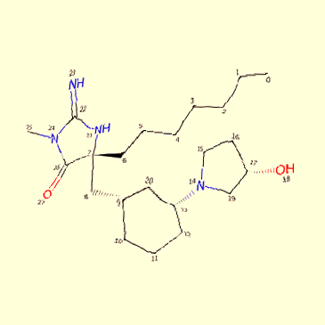 CCCCCCC[C@]1(C[C@H]2CCC[C@@H](N3CC[C@H](O)C3)C2)NC(=N)N(C)C1=O